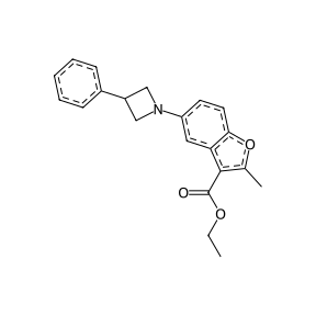 CCOC(=O)c1c(C)oc2ccc(N3CC(c4ccccc4)C3)cc12